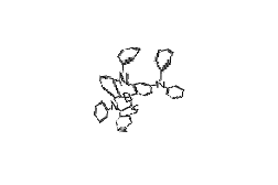 c1ccc(N(c2ccccc2)c2ccc3c(c2)N(c2ccccc2)c2cccc4c2B3c2sc3c(c2N4c2ccccc2)CCCC3)cc1